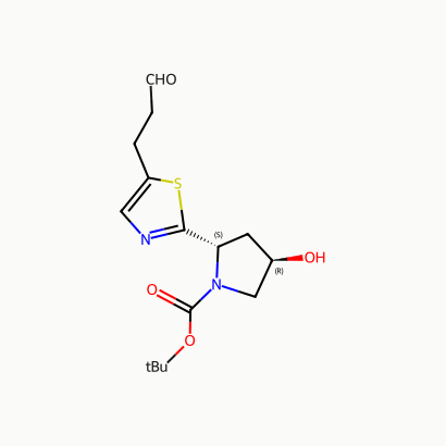 CC(C)(C)OC(=O)N1C[C@H](O)C[C@H]1c1ncc(CCC=O)s1